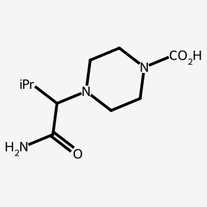 CC(C)C(C(N)=O)N1CCN(C(=O)O)CC1